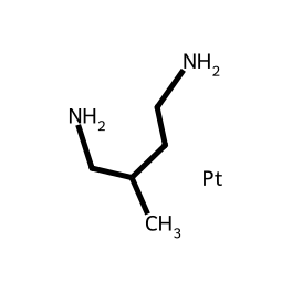 CC(CN)CCN.[Pt]